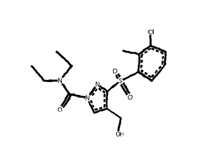 CCN(CC)C(=O)n1cc(CO)c(S(=O)(=O)c2cccc(Cl)c2C)n1